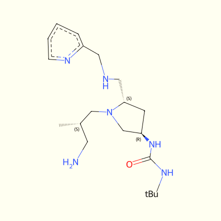 C[C@@H](CN)CN1C[C@H](NC(=O)NC(C)(C)C)C[C@H]1CNCc1ccccn1